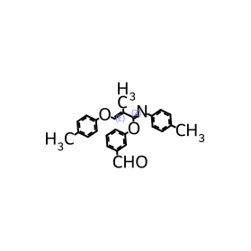 CC(=C\Oc1ccc(C)cc1)/C(=N/c1ccc(C)cc1)Oc1cccc(C=O)c1